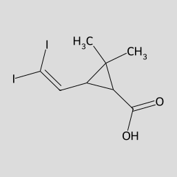 CC1(C)C(C=C(I)I)C1C(=O)O